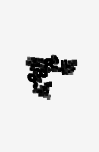 CNC(=N)NC(=N)N(C)CCc1c(C2Oc3cccc(CCN(C)C(=N)N(C)C(=N)N)c3O2)ccc2c1OC(c1ccc3c(c1CCNC(=N)NC(=N)N(C)C)OCO3)O2